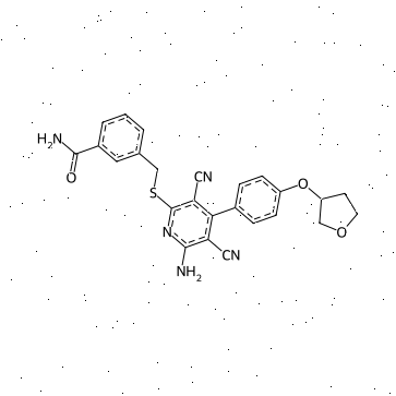 N#Cc1c(N)nc(SCc2cccc(C(N)=O)c2)c(C#N)c1-c1ccc(OC2CCOC2)cc1